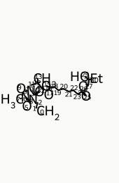 C=CCn1c(=O)n(C)c(=O)n(CC(C)COC(=O)CCCCCCC(=O)OCC(O)CC)c1=O